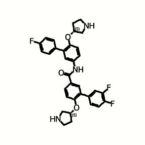 O=C(Nc1ccc(O[C@H]2CCNC2)c(-c2ccc(F)cc2)c1)c1ccc(O[C@H]2CCNC2)c(-c2ccc(F)c(F)c2)c1